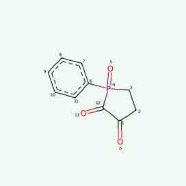 O=C1CCP(=O)(c2ccccc2)C1=O